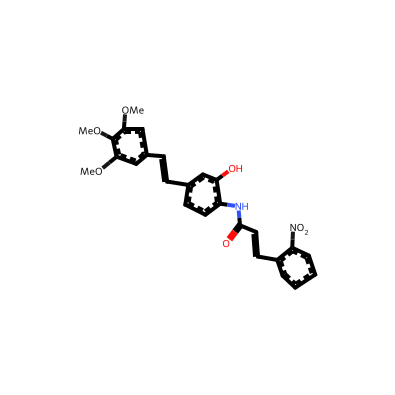 COc1cc(C=Cc2ccc(NC(=O)/C=C/c3ccccc3[N+](=O)[O-])c(O)c2)cc(OC)c1OC